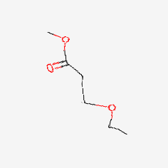 CCO[CH]CC(=O)OC